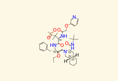 CCO[C@H](CN1C[C@H]2CCCC[C@H]2C[C@H]1C(=O)NC(C)(C)C)[C@H](Cc1ccccc1)NC(=O)[C@H](NC(=O)COc1cccnc1)C(C)(C)S(C)(=O)=O